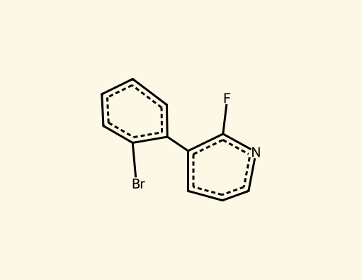 Fc1ncccc1-c1ccccc1Br